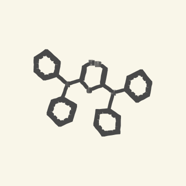 CC/C=C(\O/C(=C\CC)N(c1ccccc1)c1ccccc1)N(c1ccccc1)c1ccccc1